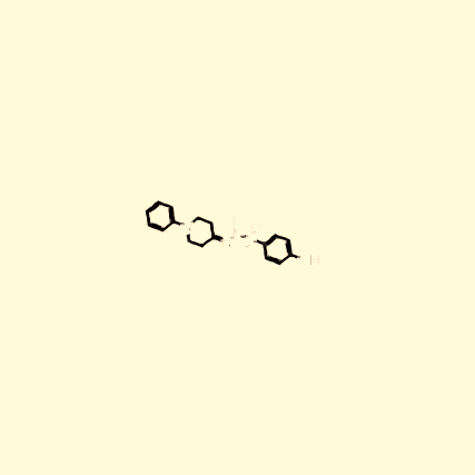 Cc1ccc(S(=O)(=O)NN=C2CCN(c3ccccc3)CC2)cc1